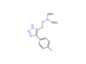 CCCCCCCCCCN(CCCCCCCCCC)CCc1[nH]nnc1-c1ccc(C)cc1